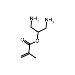 C=C(C)C(=O)OC(CN)CN